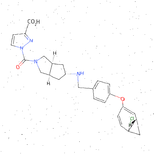 O=C(O)c1ccn(C(=O)N2C[C@H]3C[C@H](NCc4ccc(OC5=C[C@@H]6CC6(Cl)C=C5)cc4)C[C@H]3C2)n1